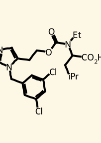 CCN(C(=O)OCCc1cncn1Cc1cc(Cl)cc(Cl)c1)C(CC(C)C)C(=O)O